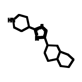 c1sc(C2CCNCC2)nc1C1CCC2CCCCC2C1